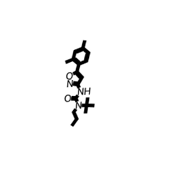 CCCN(C(=O)Nc1cc(-c2ccc(C)cc2C)on1)C(C)(C)C